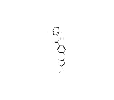 COc1cc(Sc2ccc(C(=O)N[C@@H]3C[C@H]4CC[C@@H]3N4)cc2)ns1